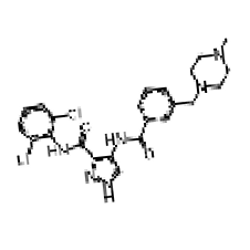 CN1CCN(Cc2cccc(C(=O)Nc3c[nH]nc3C(=O)Nc3c(Cl)cccc3Cl)c2)CC1